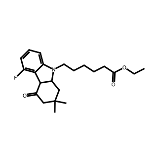 CCOC(=O)CCCCCN1c2cccc(F)c2C2C(=O)CC(C)(C)CC21